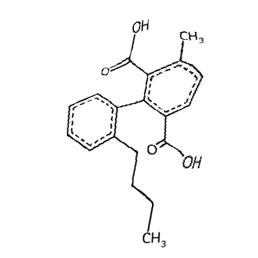 CCCCc1ccccc1-c1c(C(=O)O)ccc(C)c1C(=O)O